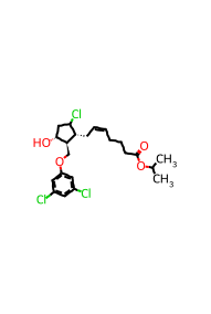 CC(C)OC(=O)CCC/C=C\C[C@H]1C(Cl)C[C@@H](O)[C@@H]1COc1cc(Cl)cc(Cl)c1